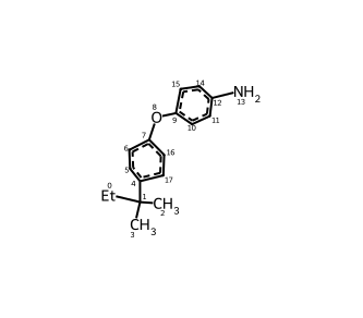 CCC(C)(C)c1ccc(Oc2ccc(N)cc2)cc1